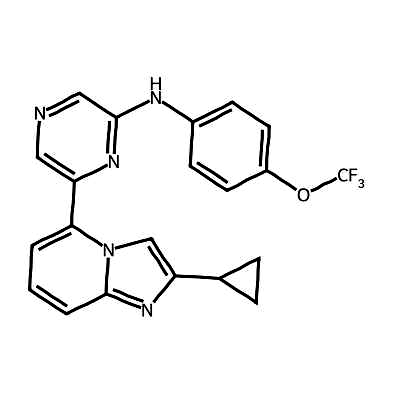 FC(F)(F)Oc1ccc(Nc2cncc(-c3cccc4nc(C5CC5)cn34)n2)cc1